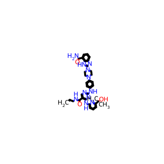 C=CCNC(=O)c1cnc(Nc2ccc(N3CCN(c4nc5cccc(C(N)=O)c5[nH]4)CC3)cc2)nc1Nc1cccc(C(C)(C)O)n1